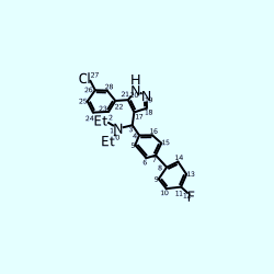 CCN(CC)C(c1ccc(-c2ccc(F)cc2)cc1)c1cn[nH]c1-c1cccc(Cl)c1